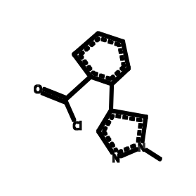 Cn1cc(-c2ccccc2C(=O)Cl)cn1